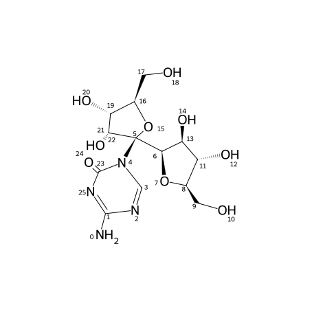 Nc1ncn([C@]2([C@@H]3O[C@H](CO)[C@@H](O)[C@@H]3O)O[C@H](CO)[C@@H](O)[C@H]2O)c(=O)n1